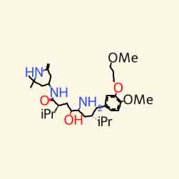 C=C1CC(NC(=O)[C@@H](C[C@H](O)[C@@H](N)C[C@H](Cc2ccc(OC)c(OCCCOC)c2)C(C)C)C(C)C)CC(C)(C)N1